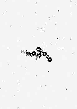 CN(C)CCc1cccc(Nc2nccc(-c3c(-c4ccc(OCc5ccccc5)cc4)nn4ccccc34)n2)c1